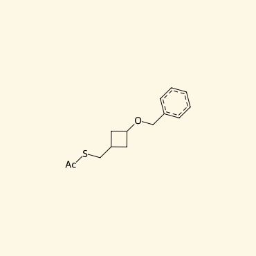 CC(=O)SCC1CC(OCc2ccccc2)C1